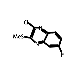 CSc1nc2cc(F)ccc2nc1Cl